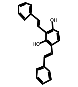 Oc1ccc(C=Cc2ccccc2)c(O)c1C=Cc1ccccc1